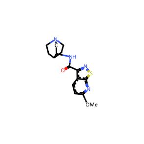 COc1ccc2c(C(=O)NC3CN4CCC3CC4)nsc2n1